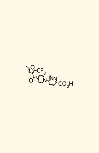 Cc1cc(C(=O)N2CCN(c3ccc(C(=O)O)nn3)CC2)c(C(F)(F)F)o1